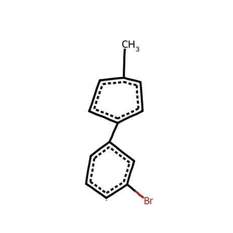 Cc1ccc(-c2cc[c]c(Br)c2)cc1